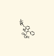 CC(C)(C)[Si](C)(C)OCCc1cccc2c(-c3ccccc3)c(CC(=O)O)cnc12